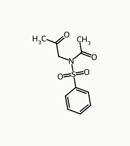 CC(=O)CN(C(C)=O)S(=O)(=O)c1ccccc1